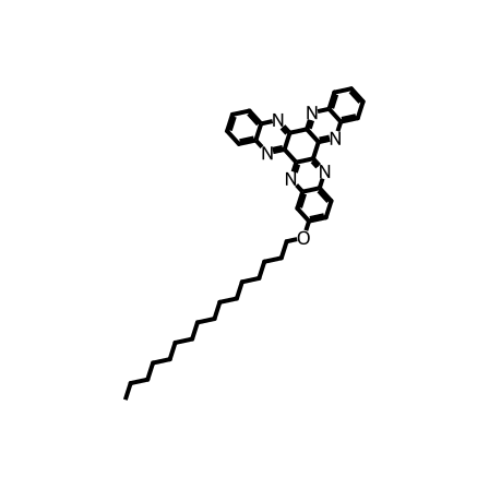 CCCCCCCCCCCCCCCCOc1ccc2nc3c4nc5ccccc5nc4c4nc5ccccc5nc4c3nc2c1